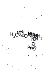 CC(O)CNCc1ccc(C(=N)/C=C(\O)c2nc(-c3ccc([S+]([O-])C(C)C)cc3)cnc2N)cc1